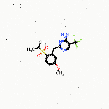 COc1ccc(S(=O)(=O)C(C)C)c(Cc2ncc(C(F)(F)F)c(N)n2)c1